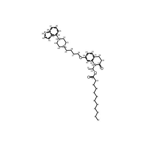 CCCCCCCCCCCC(=O)OC(C)N1C(=O)CCc2ccc(OCCCCN3CCN(c4cccc5sccc45)CC3)cc21